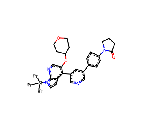 CC(C)[Si](C(C)C)(C(C)C)n1ccc2c(-c3cncc(-c4ccc(N5CCCC5=O)cc4)c3)c(OC3CCOCC3)cnc21